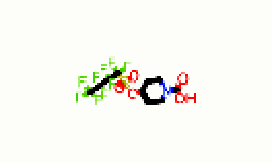 O=C(O)N1CC=C(OS(=O)(=O)C(F)(F)C(F)(F)C(F)(F)C(F)(F)F)CC1